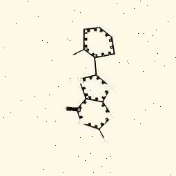 Cc1ccccc1-c1nc2nc(N)[nH]c(=O)c2[nH]1